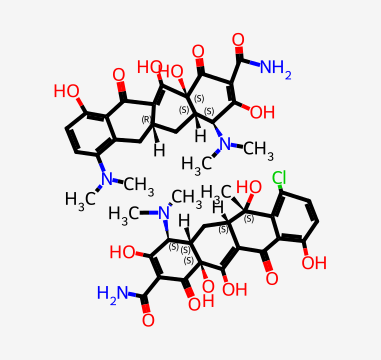 CN(C)[C@@H]1C(O)=C(C(N)=O)C(=O)[C@@]2(O)C(O)=C3C(=O)c4c(O)ccc(Cl)c4[C@@](C)(O)[C@H]3C[C@@H]12.CN(C)c1ccc(O)c2c1C[C@H]1C[C@H]3[C@H](N(C)C)C(O)=C(C(N)=O)C(=O)[C@@]3(O)C(O)=C1C2=O